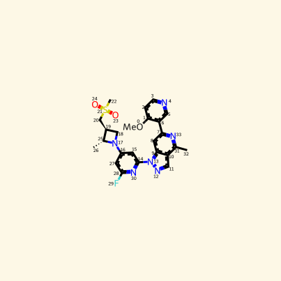 COc1ccncc1-c1cc2c(cnn2-c2cc(N3C[C@H](CS(C)(=O)=O)[C@H]3C)cc(F)n2)c(C)n1